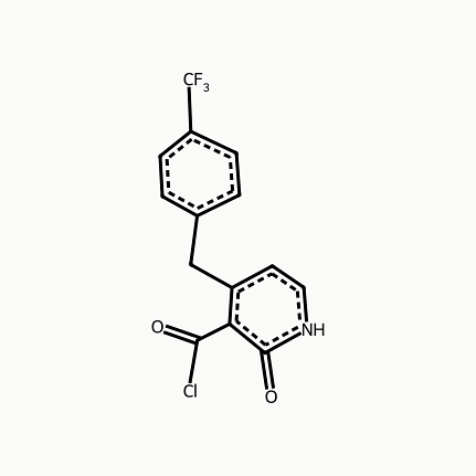 O=C(Cl)c1c(Cc2ccc(C(F)(F)F)cc2)cc[nH]c1=O